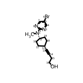 CN(c1ncc(Br)cn1)[C@H]1CC[C@H](C#CCCO)CC1